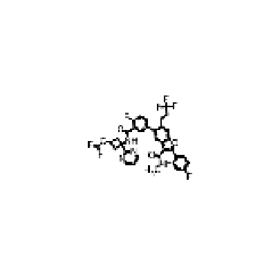 CNC(=O)c1c(-c2ccc(F)cc2)oc2cc(CCC(F)(F)F)c(-c3ccc(F)c(C(=O)NC4(c5ncccn5)CC(OC(F)F)C4)c3)cc12